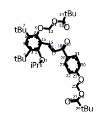 CC(C)Oc1c(C(C)(C)C)cc(C(C)(C)C)c(OCOC(=O)C(C)(C)C)c1/C=C/C(=O)c1ccc(OCOC(=O)C(C)(C)C)cc1